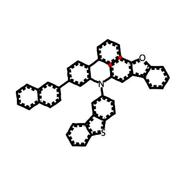 c1ccc(-c2ccc(-c3ccc4ccccc4c3)cc2N(c2ccc3oc4ccccc4c3c2)c2ccc3sc4ccccc4c3c2)cc1